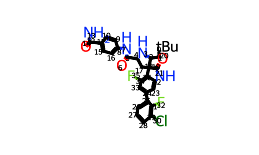 CC(C)(C)CC1NC(C(=O)Nc2ccc(C(N)=O)cc2)CC12C(=O)Nc1cc(-c3cccc(Cl)c3F)cc(F)c12